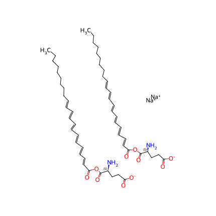 CCCCCCCCCC=CC=CC=CC=CC=CC=CC(=O)OC(=O)[C@@H](N)CCC(=O)[O-].CCCCCCCCCC=CC=CC=CC=CC=CC=CC(=O)OC(=O)[C@@H](N)CCC(=O)[O-].[Na+].[Na+]